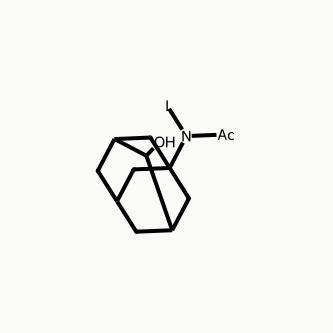 CC(=O)N(I)C12CC3CC(C1)C(O)C(C3)C2